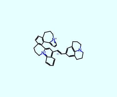 C(=C\c1cc2[n+](c3ccccc13)CCCc1ccc3c(c1-2)-c1cccc[n+]1CCC3)/c1cc2c3c(c1)CCCN3CCC2